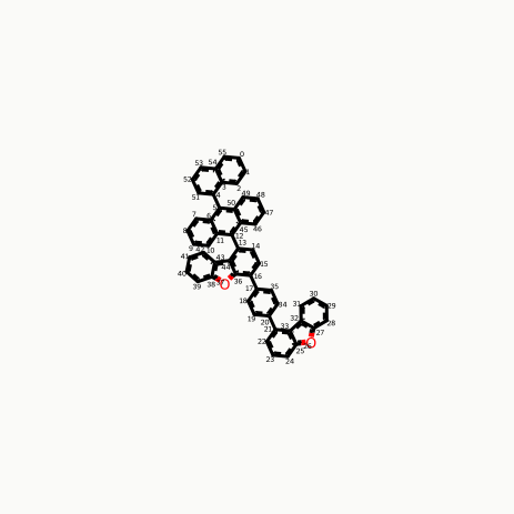 c1ccc2c(-c3c4ccccc4c(-c4ccc(-c5ccc(-c6cccc7oc8ccccc8c67)cc5)c5oc6ccccc6c45)c4ccccc34)cccc2c1